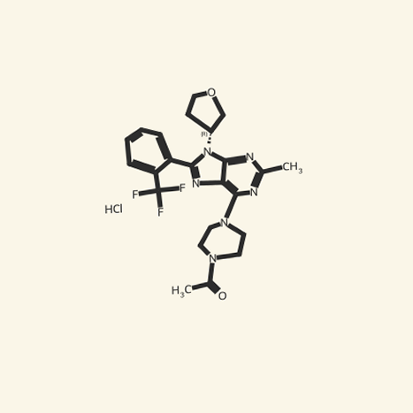 CC(=O)N1CCN(c2nc(C)nc3c2nc(-c2ccccc2C(F)(F)F)n3[C@@H]2CCOC2)CC1.Cl